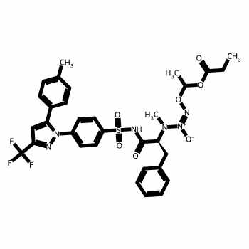 CCC(=O)OC(C)O/N=[N+](/[O-])N(C)[C@@H](Cc1ccccc1)C(=O)NS(=O)(=O)c1ccc(-n2nc(C(F)(F)F)cc2-c2ccc(C)cc2)cc1